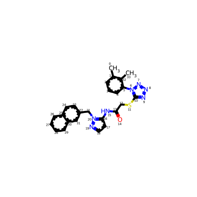 Cc1cccc(-n2nnnc2SCC(=O)Nc2ccnn2Cc2ccc3ccccc3c2)c1C